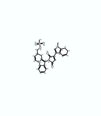 Cn1cc(C2=CC(=O)N(c3c4n(c5ccccc35)C=CC(COS(C)(=O)=O)C4)C2=O)c2c1CCC=C2